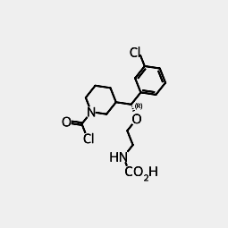 O=C(O)NCCO[C@@H](c1cccc(Cl)c1)C1CCCN(C(=O)Cl)C1